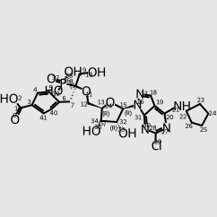 O=C(O)c1ccc(C[C@](CO)(OC[C@H]2O[C@@H](n3ncc4c(NC5CCCC5)nc(Cl)nc43)[C@H](O)[C@@H]2O)P(=O)(O)O)cc1